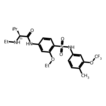 CCN[C@H](C(=O)Nc1ccc(S(=O)(=O)Nc2ccc(C)c(OC(F)(F)F)c2)c(OCC)c1)C(C)C